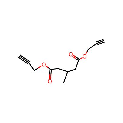 C#CCOC(=O)CC(C)CC(=O)OCC#C